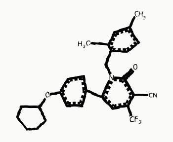 Cc1ccc(Cn2c(-c3ccc(OC4CCCCC4)cc3)cc(C(F)(F)F)c(C#N)c2=O)c(C)c1